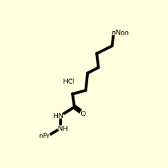 CCCCCCCCCCCCCCCC(=O)NNCCC.Cl